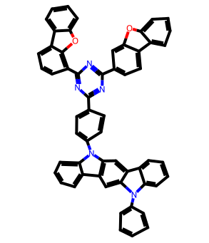 c1ccc(-n2c3ccccc3c3cc4c(cc32)c2ccccc2n4-c2ccc(-c3nc(-c4ccc5c(c4)oc4ccccc45)nc(-c4cccc5c4oc4ccccc45)n3)cc2)cc1